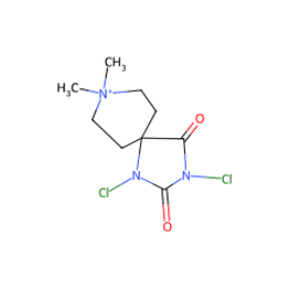 C[N+]1(C)CCC2(CC1)C(=O)N(Cl)C(=O)N2Cl